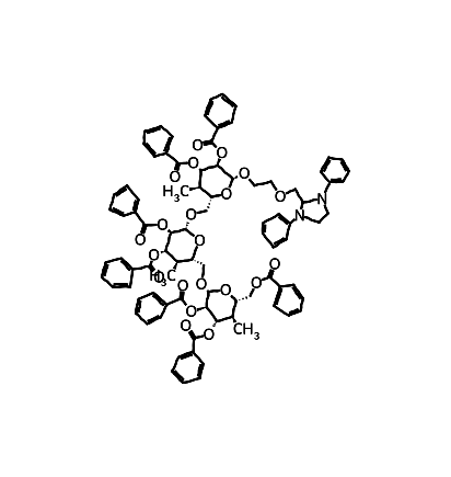 C[C@H]1[C@H](OC(=O)c2ccccc2)[C@@H](OC(=O)c2ccccc2)[C@H](OC[C@H]2O[C@@H](OC[C@H]3O[C@@H](OCCOCC4N(c5ccccc5)CCN4c4ccccc4)[C@H](OC(=O)c4ccccc4)[C@@H](OC(=O)c4ccccc4)[C@@H]3C)[C@H](OC(=O)c3ccccc3)[C@@H](OC(=O)c3ccccc3)[C@@H]2C)O[C@@H]1COC(=O)c1ccccc1